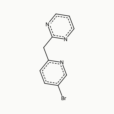 Brc1ccc(Cc2ncccn2)nc1